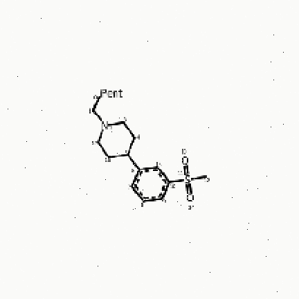 CCCC(C)CN1CCC(c2cccc(S(C)(=O)=O)c2)CC1